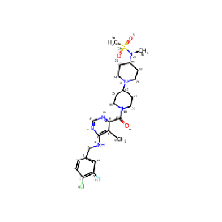 Cc1c(NCc2ccc(Cl)c(F)c2)ncnc1C(=O)N1CCC(N2CCC(N(C)S(C)(=O)=O)CC2)CC1